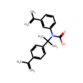 C=C(C)c1ccc(C(C)(C)N(C(=O)O)c2cccc(C(=C)C)c2)cc1